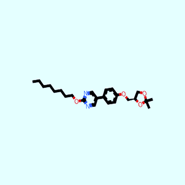 CCCCCCCCOc1ncc(-c2ccc(OC[C@H]3COC(C)(C)O3)cc2)cn1